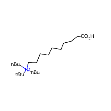 CCCC[N+](CCCC)(CCCC)CCCCCCCCCC(=O)O